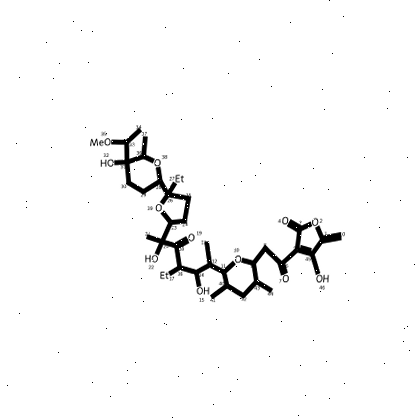 C=C1OC(=O)C(C(=O)CC2OC(C(C)C(O)C(CC)C(=O)C(C)(O)C3CCC(CC)(C4CCC(O)(C(C)OC)C(C)O4)O3)C(C)CC2C)=C1O